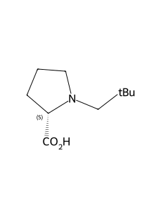 CC(C)(C)CN1CCC[C@H]1C(=O)O